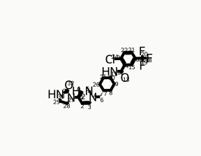 C=C(/C=C\N(N)C[C@H]1CC[C@H](NC(=O)c2cc(C(F)(F)F)ccc2Cl)CC1)N1CCNC1=O